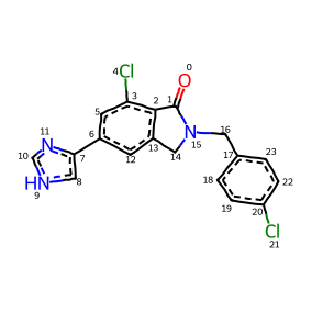 O=C1c2c(Cl)cc(-c3c[nH]cn3)cc2CN1Cc1ccc(Cl)cc1